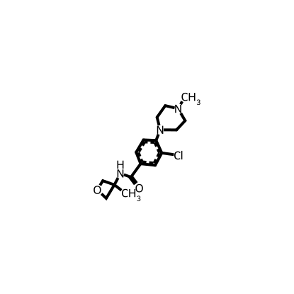 CN1CCN(c2ccc(C(=O)NC3(C)COC3)cc2Cl)CC1